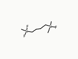 C[Si](C)(F)CCCC[Si](C)(F)F